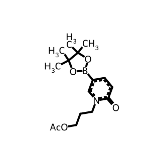 CC(=O)OCCCn1cc(B2OC(C)(C)C(C)(C)O2)ccc1=O